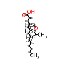 CC(C)[SiH2]O[SiH3].CCCCCCCCCCCCCC(=O)O